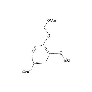 CCCCOc1cc(C=O)ccc1OCOC